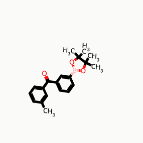 Cc1cccc(C(=O)c2cccc(B3OC(C)(C)C(C)(C)O3)c2)c1